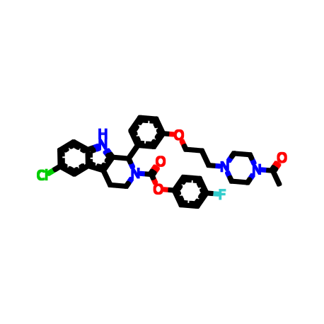 CC(=O)N1CCN(CCCOc2cccc(C3c4[nH]c5ccc(Cl)cc5c4CCN3C(=O)Oc3ccc(F)cc3)c2)CC1